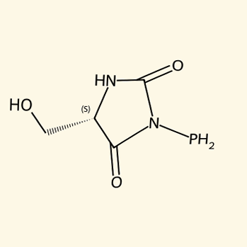 O=C1N[C@@H](CO)C(=O)N1P